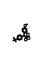 COc1ccc(C(c2ccc(C(C)(C)C)cc2)C(Cl)(Cl)Cl)cc1